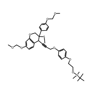 COCOc1ccc(C2(SC)COc3cc(OCOC)ccc3C2C#CCOc2ccc(OCCO[Si](C)(C)C(C)(C)C)cc2)cc1